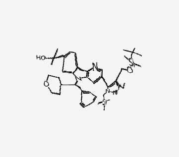 CC(C)(O)c1ccc2c3ncc(-c4c(CO[Si](C)(C)C(C)(C)C)nnn4C[Si](C)(C)C)cc3n(C(c3ccccc3)C3CCOCC3)c2c1